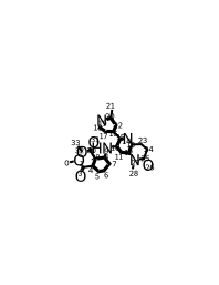 COC(=O)c1cccc(Nc2cc3c(nc2-c2ccnc(C)c2)CCC(=O)N3C)c1C(=O)OC